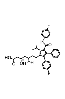 CC(C)n1c(CCC(O)C[C@@H](O)CC(=O)O)c(-c2ccc(F)cc2)c(-c2ccccc2)c1C(=O)Nc1ccc(F)cc1